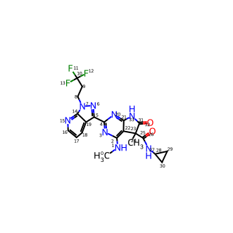 CNc1nc(-c2nn(CCC(F)(F)F)c3ncccc23)nc2c1C(C)(C(=O)NC1CC1)C(=O)N2